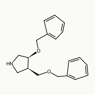 c1ccc(COC[C@H]2CNC[C@H]2OCc2ccccc2)cc1